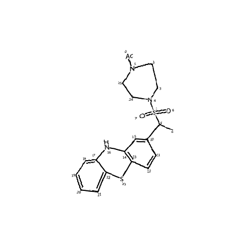 CC(=O)N1CCN(S(=O)(=O)C(C)c2ccc3c(c2)Nc2ccccc2S3)CC1